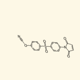 N#COc1ccc(S(=O)(=O)c2ccc(N3C(=O)C=CC3=O)cc2)cc1